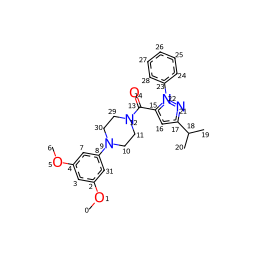 COc1cc(OC)cc(N2CCN(C(=O)c3cc(C(C)C)nn3-c3ccccc3)CC2)c1